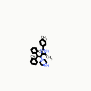 Cc1ccc(-c2nc(C(C(c3ccccc3C)c3ccccc3C)N3CCNCC3)c(C)[nH]2)cc1